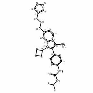 CC(C)OC(=O)Nc1ccc(-c2c(N)c3ccc(SCCn4ccnc4)cc3n2C2CCC2)cc1